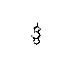 Cc1csc(/C=C2/CCOC2=O)n1